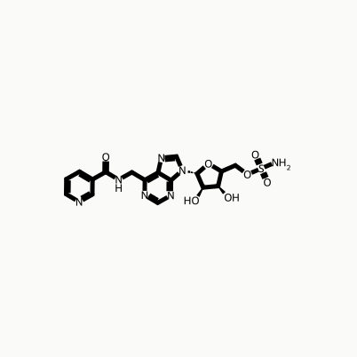 NS(=O)(=O)OCC1O[C@@H](n2cnc3c(CNC(=O)c4cccnc4)ncnc32)[C@H](O)[C@@H]1O